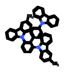 Cc1ccc2c(c1)c1ccccc1n2-c1cccc(-n2c3ccccc3c3cc(C)ccc32)c1-c1ccc(-n2c3ccccc3c3ccccc32)cc1